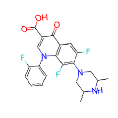 CC1CN(c2c(F)cc3c(=O)c(C(=O)O)cn(-c4ccccc4F)c3c2F)CC(C)N1